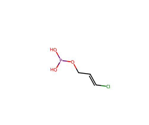 OP(O)OCC=CCl